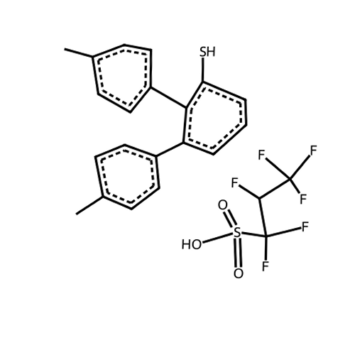 Cc1ccc(-c2cccc(S)c2-c2ccc(C)cc2)cc1.O=S(=O)(O)C(F)(F)C(F)C(F)(F)F